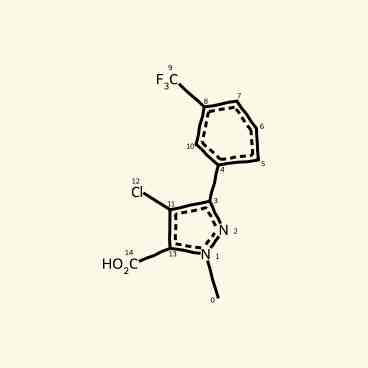 Cn1nc(-c2cccc(C(F)(F)F)c2)c(Cl)c1C(=O)O